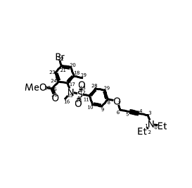 CCN(CC)CC#CCOc1ccc(S(=O)(=O)N(C)c2c(C)cc(Br)cc2C(=O)OC)cc1